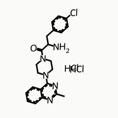 Cc1nc(N2CCN(C(=O)C(N)Cc3ccc(Cl)cc3)CC2)c2ccccc2n1.Cl.Cl